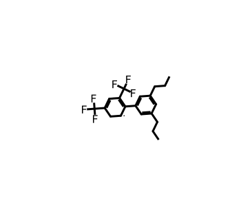 CCCc1cc(CCC)cc(C2=C(C(F)(F)F)C=C(C(F)(F)F)C[CH]2)c1